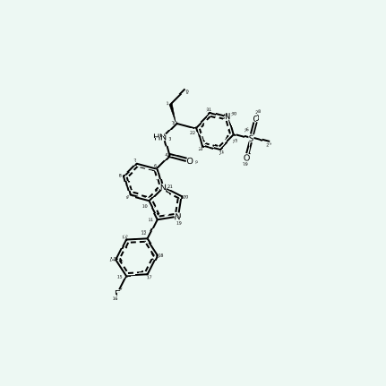 CC[C@H](NC(=O)c1cccc2c(-c3ccc(F)cc3)ncn12)c1ccc(S(C)(=O)=O)nc1